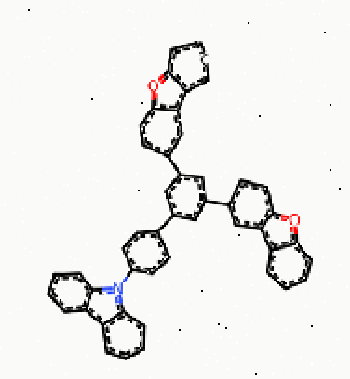 c1ccc2c(c1)oc1ccc(-c3cc(-c4ccc(-n5c6ccccc6c6ccccc65)cc4)cc(-c4ccc5oc6ccccc6c5c4)c3)cc12